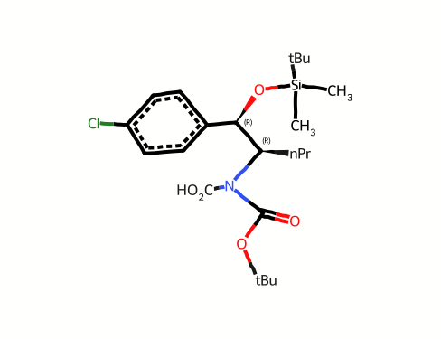 CCC[C@H]([C@H](O[Si](C)(C)C(C)(C)C)c1ccc(Cl)cc1)N(C(=O)O)C(=O)OC(C)(C)C